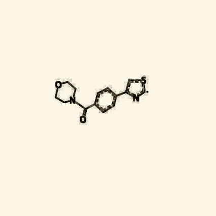 O=C(c1ccc(-c2cs[c]n2)cc1)N1CCOCC1